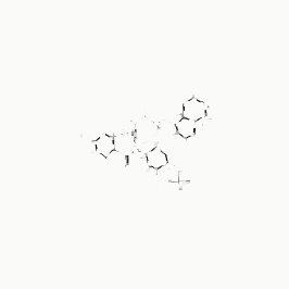 O=C1c2ccc(Br)cc2NC2(CCN(Cc3cccc4cnccc34)CC2)N1c1ccc(OC(F)(F)F)cc1